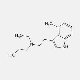 CCCN(CC)CCc1c[nH]c2cccc(C)c12